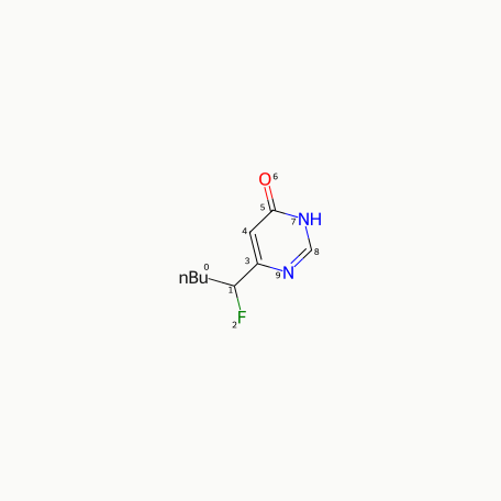 CCCCC(F)c1cc(=O)[nH]cn1